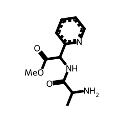 COC(=O)C(NC(=O)C(C)N)c1ccccn1